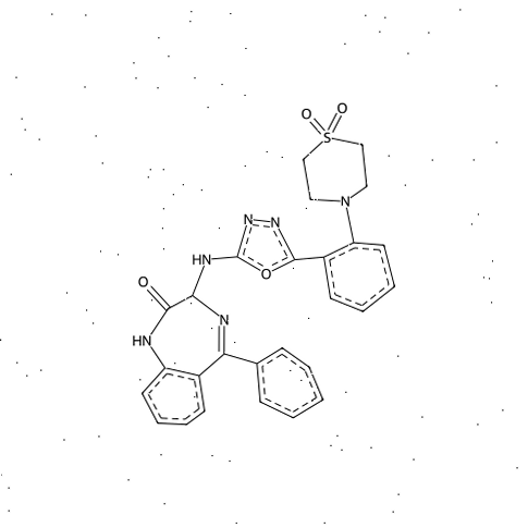 O=C1Nc2ccccc2C(c2ccccc2)=NC1Nc1nnc(-c2ccccc2N2CCS(=O)(=O)CC2)o1